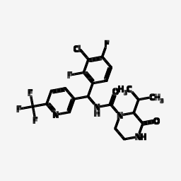 CC(C)C1C(=O)NCCN1C(=O)NC(c1ccc(C(F)(F)F)nc1)c1ccc(F)c(Cl)c1F